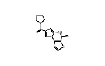 O=C(c1cc2[nH]c(=O)c3sccc3n2c1)N1CCCC1